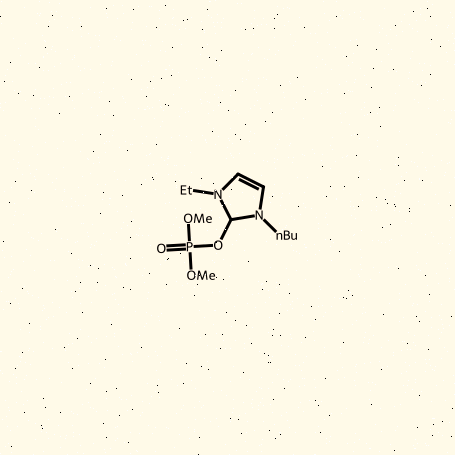 CCCCN1C=CN(CC)C1OP(=O)(OC)OC